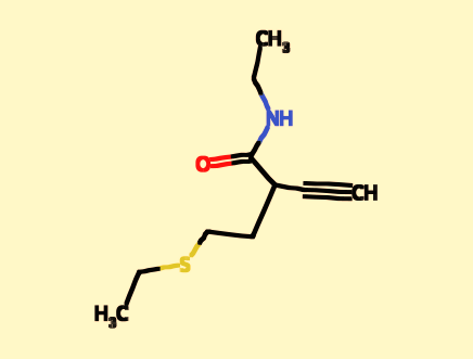 C#CC(CCSCC)C(=O)NCC